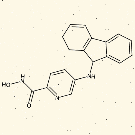 O=C(NO)c1ccc(NC2C3=C(C=CCC3)c3ccccc32)cn1